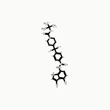 CC(C)(C)OC(=O)N1CCC(C(F)(F)c2ccc([S+]([O-])Nc3ccc(Cl)c4c(Cl)c[nH]c34)cc2)CC1